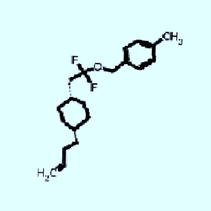 C=CCC[C@H]1CC[C@H](CC(F)(F)OCc2ccc(C)cc2)CC1